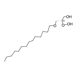 CCCCCCCCCCCCCCOC[C@H](CO)OO